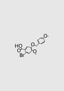 COc1ccc(COc2cc(C(=O)O)c(Br)cc2OC)cc1